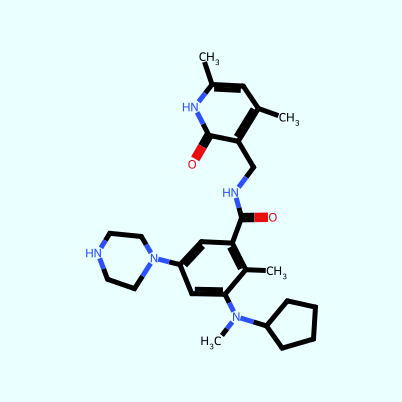 Cc1cc(C)c(CNC(=O)c2cc(N3CCNCC3)cc(N(C)C3CCCC3)c2C)c(=O)[nH]1